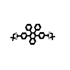 CC1(C)CSC(c2ccc(-c3c(-c4ccccc4)c(-c4ccccc4)c(-c4ccc(C5=NC(C)(C)CS5)cc4)c4ccccc34)cc2)=N1